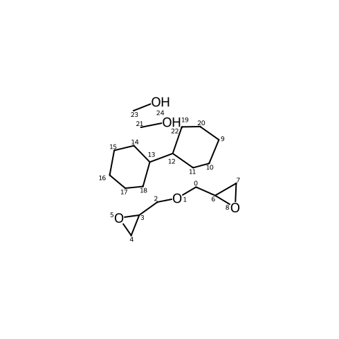 C(OCC1CO1)C1CO1.C1CCC(C2CCCCC2)CC1.CO.CO